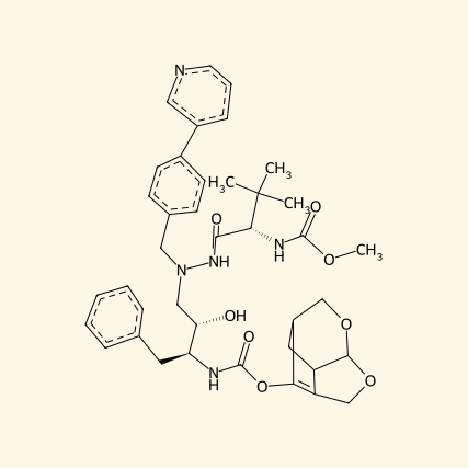 COC(=O)N[C@H](C(=O)NN(Cc1ccc(-c2cccnc2)cc1)C[C@H](O)[C@H](Cc1ccccc1)NC(=O)OC1=C2COC3OCC1CC23)C(C)(C)C